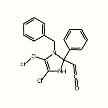 CCOC1=C(Cl)NC(C=C=O)(c2ccccc2)N1Cc1ccccc1